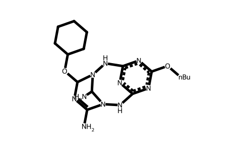 CCCCOc1nc2nc(n1)NN1C(OC3CCCCC3)N=C(N)N(N2)C1N